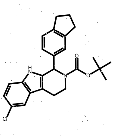 CC(C)(C)OC(=O)N1CCc2c([nH]c3ccc(Cl)cc23)C1c1ccc2c(c1)CCC2